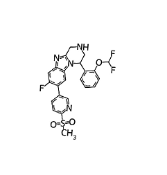 CS(=O)(=O)c1ccc(-c2cc3c(cc2F)nc2n3C(c3ccccc3OC(F)F)CNC2)cn1